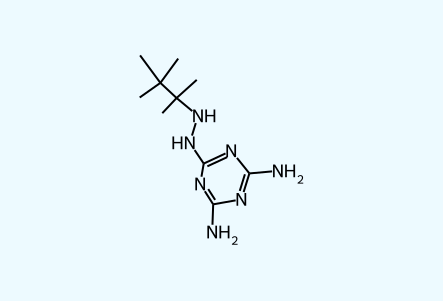 CC(C)(C)C(C)(C)NNc1nc(N)nc(N)n1